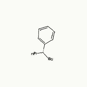 CCCC(c1ccccc1)C(C)CC